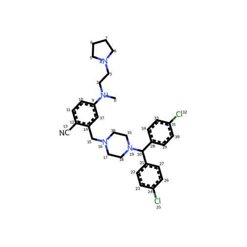 CN(CCN1CCCC1)c1ccc(C#N)c(CN2CCN(C(c3ccc(Cl)cc3)c3ccc(Cl)cc3)CC2)c1